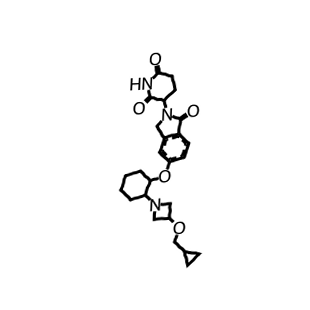 O=C1CCC(N2Cc3cc(OC4CCCCC4N4CC(OCC5CC5)C4)ccc3C2=O)C(=O)N1